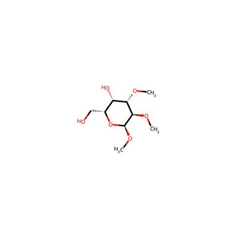 CO[C@H]1O[C@H](CO)[C@H](O)[C@H](OC)[C@H]1OC